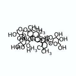 CC1=C2C3=CCC4[C@@]5(C)CC[C@H](OC6OCC(O)C(O)C6OC6OC(CO)C(O)C(O)C6O)C(C)(C)C5CC[C@@]4(C)[C@]3(C)CC[C@@]2(C(=O)OC2OC(CO)C(O)C(O)C2O)CC[C@H]1C